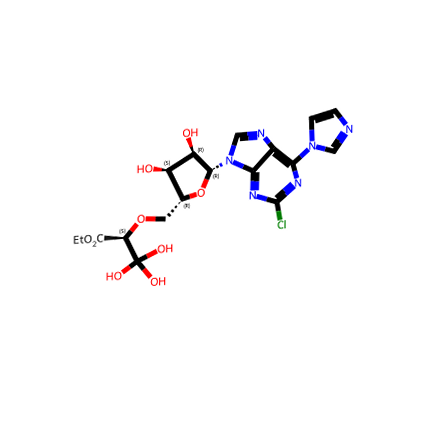 CCOC(=O)[C@@H](OC[C@H]1O[C@@H](n2cnc3c(-n4ccnc4)nc(Cl)nc32)[C@H](O)[C@@H]1O)C(O)(O)O